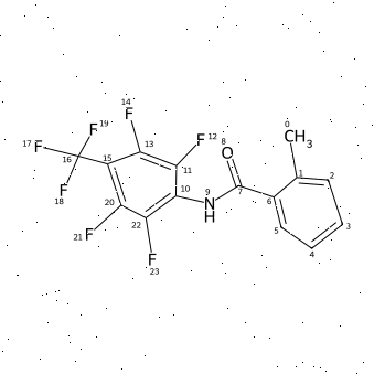 Cc1ccccc1C(=O)Nc1c(F)c(F)c(C(F)(F)F)c(F)c1F